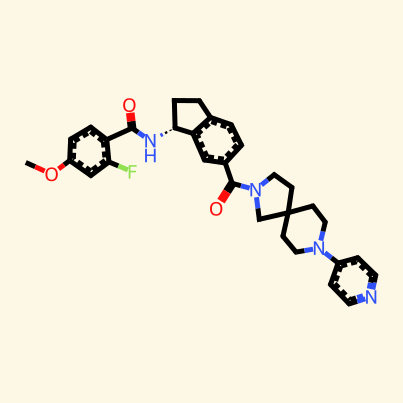 COc1ccc(C(=O)N[C@@H]2CCc3ccc(C(=O)N4CCC5(CCN(c6ccncc6)CC5)C4)cc32)c(F)c1